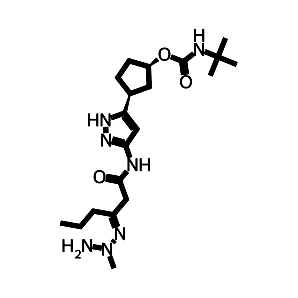 CCC/C(CC(=O)Nc1cc([C@H]2CC[C@@H](OC(=O)NC(C)(C)C)C2)[nH]n1)=N\N(C)N